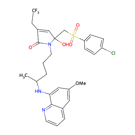 COc1cc(NC(C)CCCN2C(=O)C(CC(F)(F)F)=CC2(O)CS(=O)(=O)c2ccc(Cl)cc2)c2ncccc2c1